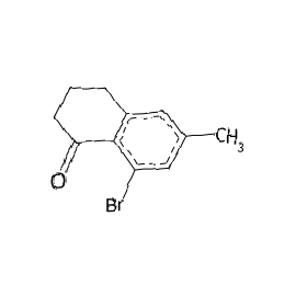 Cc1cc(Br)c2c(c1)CCCC2=O